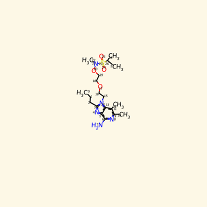 CCCc1nc2c(N)nc(C)c(C)c2n1CCOCCON(C)S(=O)(=O)C(C)C